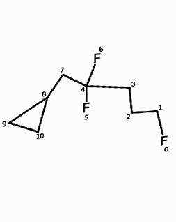 FCCCC(F)(F)CC1CC1